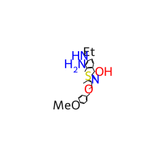 CCNc1ccc(C(O)c2nc(COCc3ccc(OC)cc3)c(C)s2)c(C)c1N